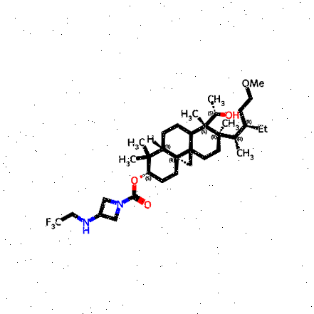 CC[C@H](CCOC)[C@@H](C)[C@@]1(C)CCC23C[C@@]24CC[C@H](OC(=O)N2CC(NCC(F)(F)F)C2)C(C)(C)[C@@H]4CCC3[C@]1(C)[C@H](C)O